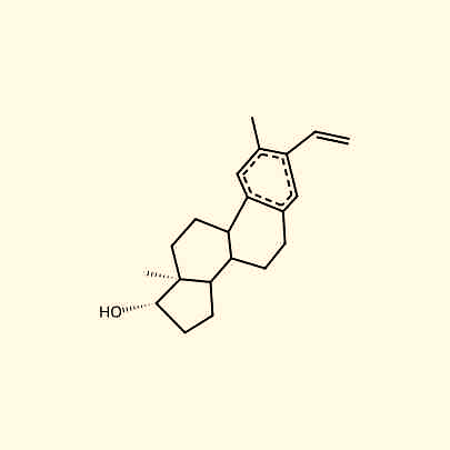 C=Cc1cc2c(cc1C)C1CC[C@@]3(C)C(CC[C@@H]3O)C1CC2